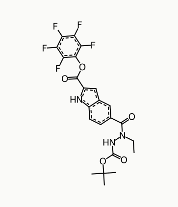 CCN(NC(=O)OC(C)(C)C)C(=O)c1ccc2[nH]c(C(=O)Oc3c(F)c(F)c(F)c(F)c3F)cc2c1